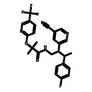 CC(c1ccc(F)cc1)C(CNC(=O)C(C)(C)Oc1ccc(C(F)(F)F)cn1)c1cncc(C#N)c1